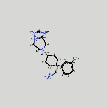 NC[C@]1(c2cccc(Cl)c2)CC[C@H](N2CCn3ncnc3C2)CC1